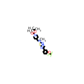 CN(CC1CCN(C(=O)OC(C)(C)C)CC1)c1nn2cc(-c3cccc(OC(F)(F)F)c3)nc2s1